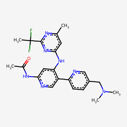 CC(=O)Nc1cc(Nc2cc(C)nc(C(C)(F)F)n2)c(-c2ccc(CN(C)C)cn2)cn1